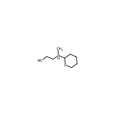 C[SiH](CCC#N)C1CCCCO1